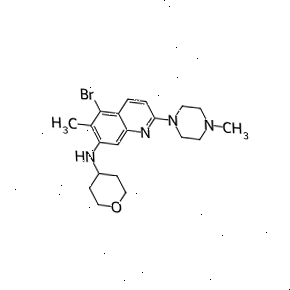 Cc1c(NC2CCOCC2)cc2nc(N3CCN(C)CC3)ccc2c1Br